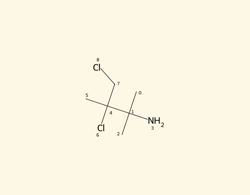 CC(C)(N)C(C)(Cl)CCl